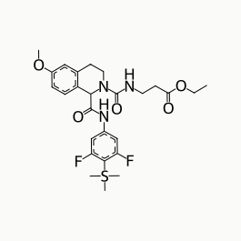 CCOC(=O)CCNC(=O)N1CCc2cc(OC)ccc2C1C(=O)Nc1cc(F)c(S(C)(C)C)c(F)c1